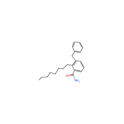 CCCCCCCCc1c(Cc2ccccc2)cccc1C(N)=O